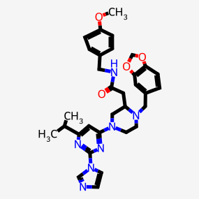 COc1ccc(CNC(=O)CC2CN(c3cc(C(C)C)nc(-n4ccnc4)n3)CCN2Cc2ccc3c(c2)OCO3)cc1